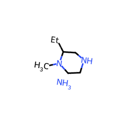 CCC1CNCCN1C.N